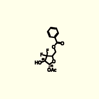 CC(=O)O[C@H]1OC(COC(=O)c2ccccc2)C(F)(F)[C@@H]1O